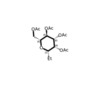 CC[C@@H]1O[C@H](COC(C)=O)[C@@H](OC(C)=O)[C@H](OC(C)=O)[C@@H]1OC(C)=O